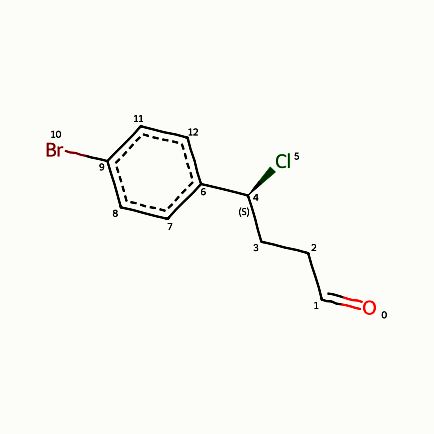 O=CCC[C@H](Cl)c1ccc(Br)cc1